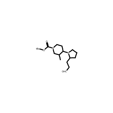 CC1CN(C(=O)OC(C)(C)C)CCC1N1CCCC1CCC=O